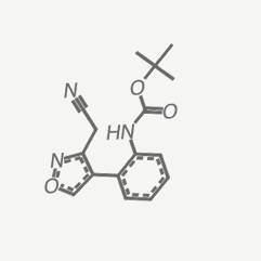 CC(C)(C)OC(=O)Nc1ccccc1-c1conc1CC#N